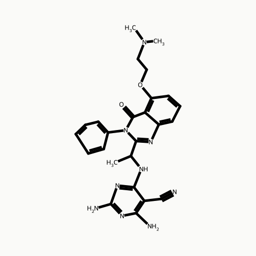 CC(Nc1nc(N)nc(N)c1C#N)c1nc2cccc(OCCN(C)C)c2c(=O)n1-c1ccccc1